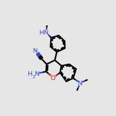 CNc1cccc(C2C(C#N)=C(N)Oc3cc(N(C)C)ccc32)c1